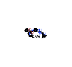 COc1ccc2cc(-c3ccccc3)c(C(=O)C(=O)Nc3ccc(NCCNCc4cc(C)cc(C)n4)cc3)n2c1